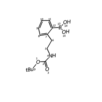 CC(C)(C)OC(=O)NCCc1ccccc1B(O)O